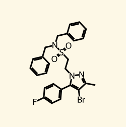 Cc1nn(CCS(=O)(=O)N(Cc2ccccc2)Cc2ccccc2)c(-c2ccc(F)cc2)c1Br